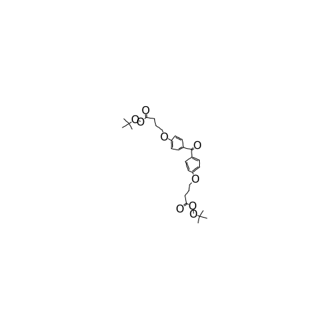 CC(C)(C)OOC(=O)CCCOc1ccc(C(=O)c2ccc(OCCCC(=O)OOC(C)(C)C)cc2)cc1